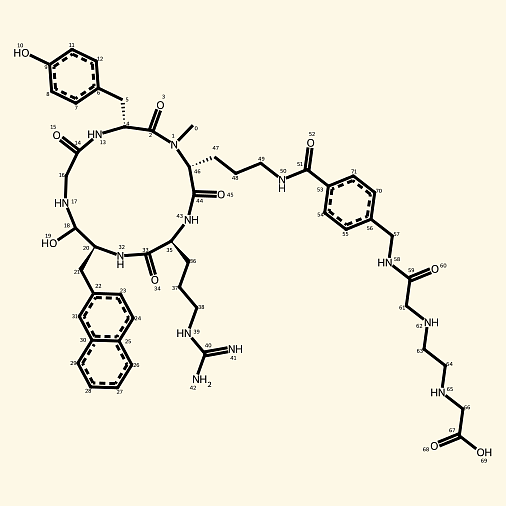 CN1C(=O)[C@@H](Cc2ccc(O)cc2)NC(=O)CNC(O)[C@H](Cc2ccc3ccccc3c2)NC(=O)[C@H](CCCNC(=N)N)NC(=O)[C@H]1CCCNC(=O)c1ccc(CNC(=O)CNCCNCC(=O)O)cc1